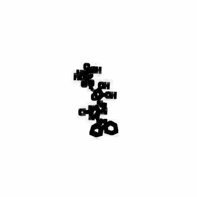 O=P(O)(O)CP(=O)(O)OC[C@H]1O[C@@H](n2cnc3c(N4CC5(CCCCC5)c5ccccc54)nc(Cl)nc32)C(O)C1O